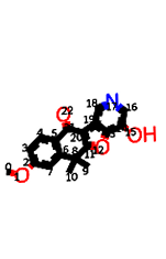 COc1ccc2c(c1)C(C)(C)c1oc3c(O)cncc3c1C2=O